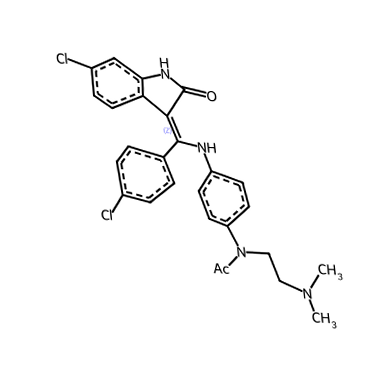 CC(=O)N(CCN(C)C)c1ccc(N/C(=C2\C(=O)Nc3cc(Cl)ccc32)c2ccc(Cl)cc2)cc1